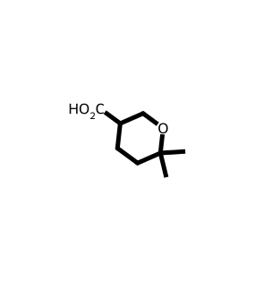 CC1(C)CCC(C(=O)O)CO1